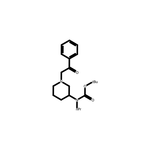 CCCN(C(=O)OC(C)(C)C)C1CCCN(CC(=O)c2ccccc2)C1